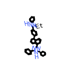 CCN1c2ccccc2NC1c1ccc(-c2cccc3c(C4=NC(c5ccccc5)NC(c5ccccc5)=N4)cccc23)cc1